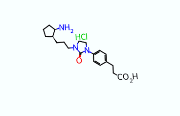 Cl.N[C@@H]1CCC[C@@H]1CCCN1CCN(c2ccc(CCC(=O)O)cc2)C1=O